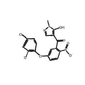 Cn1ncc(C(=O)c2cc(Oc3ccc(Cl)cc3Cl)ccc2[N+](=O)[O-])c1O